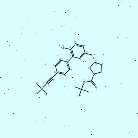 CC(C)(C)OC(=O)N1CC[C@@H](Oc2cnc(Cl)c(-c3ccc(C#C[Si](C)(C)C)cc3)c2)C1